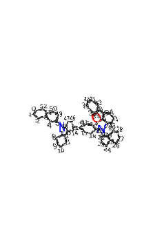 c1ccc2cc(-n3c4ccccc4c4cc(-c5ccc(N(c6cccc7ccccc67)c6cccc7c6oc6ccccc67)cc5)ccc43)ccc2c1